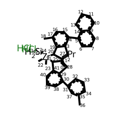 CC1=Cc2c(-c3cccc4ccccc34)ccc(C)c2[CH]1[Zr]([CH3])([CH3])(=[SiH2])[CH]1C(C(C)C)=Cc2c(-c3cccc(C)c3)cccc21.Cl.Cl